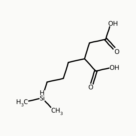 C[SiH](C)CCCC(CC(=O)O)C(=O)O